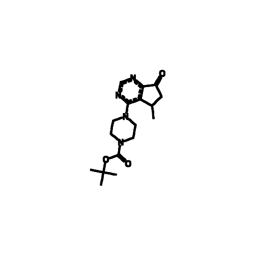 CC1CC(=O)c2ncnc(N3CCN(C(=O)OC(C)(C)C)CC3)c21